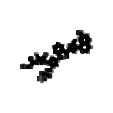 Cc1sc(C(=O)c2cncnc2N[C@@H]2C[C@H](COS(N)(=O)=O)[C@@H](OC(=O)[C@H](C)NC(=O)OC(C)(C)C)C2)cc1[C@@H]1OCCc2ccc(Cl)cc21